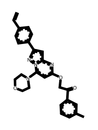 C=Cc1ccc(-c2cc3nc(OCC(=O)c4cccc(C)c4)cc(N4CCOCC4)n3n2)cc1